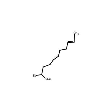 C/C=C/CCCCCCC(CC)SC